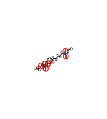 C=COC(=O)CCCCCCOOOC(=O)OC=C